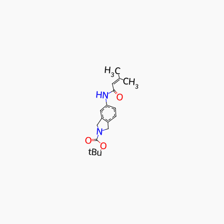 CC(C)=CC(=O)Nc1ccc2c(c1)CN(C(=O)OC(C)(C)C)C2